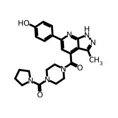 Cc1n[nH]c2nc(-c3ccc(O)cc3)cc(C(=O)N3CCN(C(=O)N4CCCC4)CC3)c12